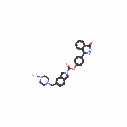 CN1CCN(Cc2ccc3cn(C(=O)Oc4ccc(-c5n[nH]c(=O)c6ccccc56)cc4)cc3c2)CC1